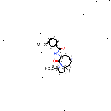 COc1cccc(C(=O)N[C@@H]2C/C=C\C[C@H]3CC[C@@H](C(=O)O)N3C2=O)c1